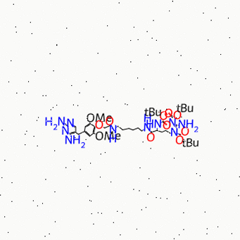 COc1cc(Cc2cnc(N)nc2N)cc(OC)c1OCC(=O)NCCCCCCNC(=O)C(CCCN(C(=O)OC(C)(C)C)C(N)=NC(=O)OC(C)(C)C)NC(=O)OC(C)(C)C